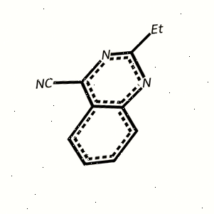 CCc1nc(C#N)c2ccccc2n1